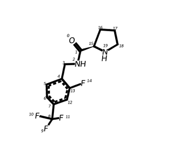 O=C(NCc1ccc(C(F)(F)F)cc1F)[C@H]1CCCN1